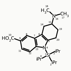 CC(C)[Si](C(C)C)(C(C)C)n1c2c(c3cc(C(=O)O)ccc31)CC(N(C)C)CC2